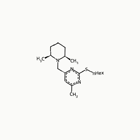 CCCCCCSc1nc(C)cc(CN2[C@H](C)CCC[C@@H]2C)n1